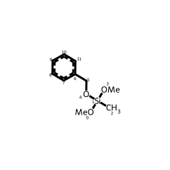 CO[Si](C)(OC)OCc1ccccc1